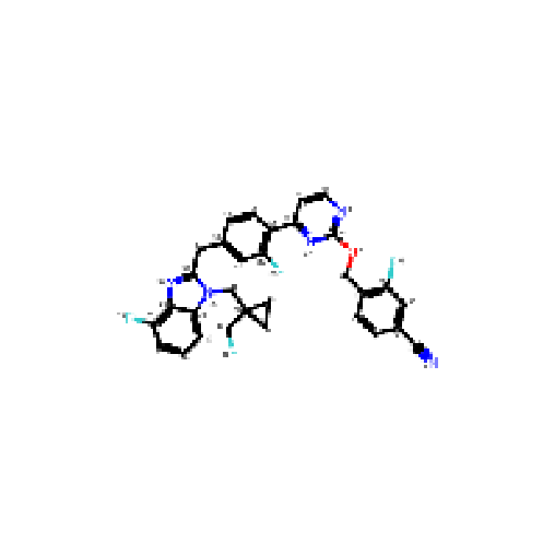 N#Cc1ccc(COc2nccc(-c3ccc(Cc4nc5c(F)cccc5n4CC4(CF)CC4)cc3F)n2)c(F)c1